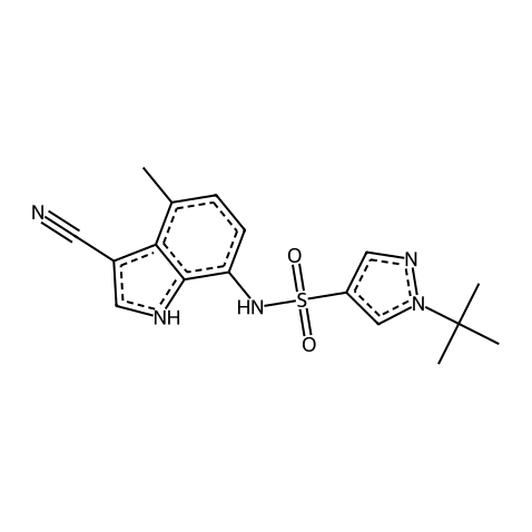 Cc1ccc(NS(=O)(=O)c2cnn(C(C)(C)C)c2)c2[nH]cc(C#N)c12